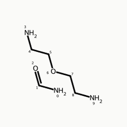 NC=O.NCCOCCN